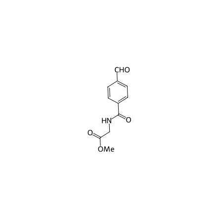 COC(=O)CNC(=O)c1ccc(C=O)cc1